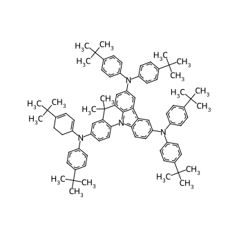 CC(C)(C)C1=CC=C(N(c2ccc(C(C)(C)C)cc2)c2ccc3c(c2)C(C)(C)c2cc(N(c4ccc(C(C)(C)C)cc4)c4ccc(C(C)(C)C)cc4)cc4c5cc(N(c6ccc(C(C)(C)C)cc6)c6ccc(C(C)(C)C)cc6)ccc5n-3c24)CC1